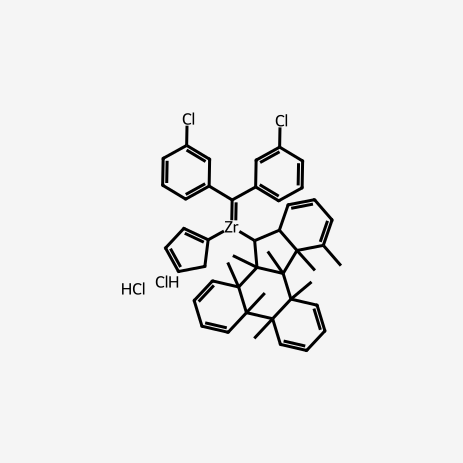 CC1=CC=CC2[CH]([Zr]([C]3=CC=CC3)=[C](c3cccc(Cl)c3)c3cccc(Cl)c3)C3(C)C4(C)C=CC=CC4(C)C4(C)C=CC=CC4(C)C3(C)C12C.Cl.Cl